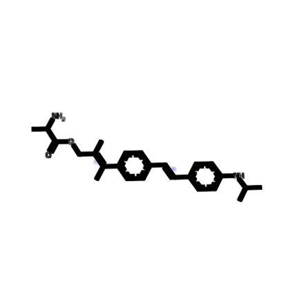 C/C(COC(=O)C(C)N)=C(/C)c1ccc(/C=C/c2ccc(NC(C)C)cc2)cc1